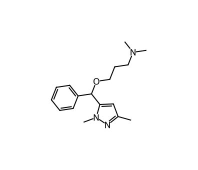 Cc1cc(C(OCCCN(C)C)c2ccccc2)n(C)n1